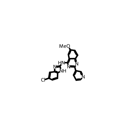 COc1ccc2nc(-c3cccnc3)nc(Nc3nc4cc(Cl)ccc4[nH]3)c2c1